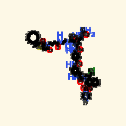 CC(C)[C@H](NCCNC(=O)CCCN1C(=O)CC(SC(C)(C)C2CCCCCCCCC2)C1=O)C(=O)N[C@@H](CCCNC(N)=O)C(=O)Nc1ccc(C(=O)Nc2ccc3[nH]c(C(=O)N4C[C@@H](CCl)c5c4cc(OC(=O)N4CCN(C)CC4)c4ccccc54)cc3c2)cc1